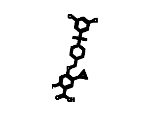 CC(C)(c1cc(Cl)cc(Cl)c1)N1CCC(COc2cc(F)c(C(=O)O)cc2C2CC2)CC1